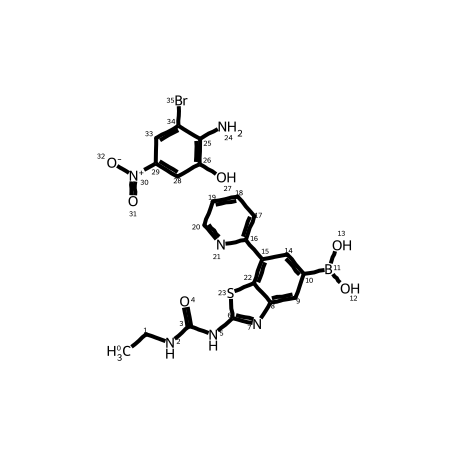 CCNC(=O)Nc1nc2cc(B(O)O)cc(-c3ccccn3)c2s1.Nc1c(O)cc([N+](=O)[O-])cc1Br